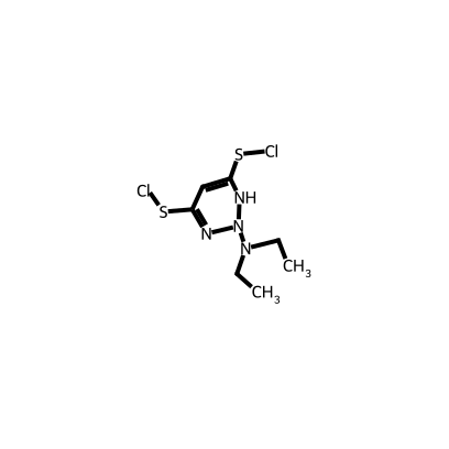 CCN(CC)N1N=C(SCl)C=C(SCl)N1